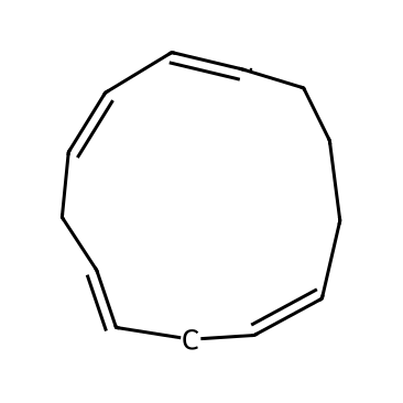 [C]1=CC=CCC=CCC=CCCC1